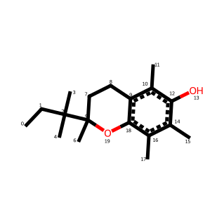 CCC(C)(C)C1(C)CCc2c(C)c(O)c(C)c(C)c2O1